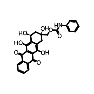 O=C(Nc1ccccc1)OC[C@@]1(O)Cc2c(O)c3c(c(O)c2[C@@H](O)C1)C(=O)c1ccccc1C3=O